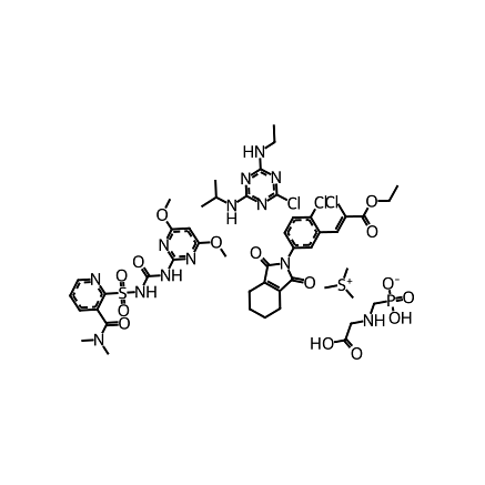 CCNc1nc(Cl)nc(NC(C)C)n1.CCOC(=O)/C(Cl)=C/c1cc(N2C(=O)C3=C(CCCC3)C2=O)ccc1Cl.COc1cc(OC)nc(NC(=O)NS(=O)(=O)c2ncccc2C(=O)N(C)C)n1.C[S+](C)C.O=C(O)CNCP(=O)([O-])O